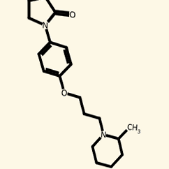 CC1CCCCN1CCCOc1ccc(N2CCCC2=O)cc1